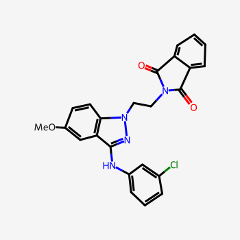 COc1ccc2c(c1)c(Nc1cccc(Cl)c1)nn2CCN1C(=O)c2ccccc2C1=O